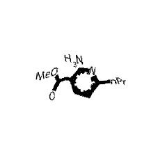 CCCc1ccc(C(=O)OC)cn1.N